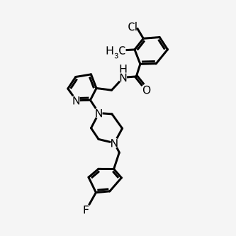 Cc1c(Cl)cccc1C(=O)NCc1cccnc1N1CCN(Cc2ccc(F)cc2)CC1